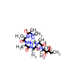 CCC(=O)C(=O)C(C)(C)NC(=O)[C@H](C)N(C)C(=O)[C@H](C)NC(=O)[C@H](C)NC(=O)[C@H](C)NC(=O)[C@H](C)NC